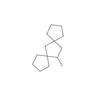 CC1CC2(CCCC2)CC12CCCC2